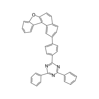 c1ccc(-c2nc(-c3ccccc3)nc(-c3ccc(-c4ccc5ccc6oc7ccccc7c6c5c4)cc3)n2)cc1